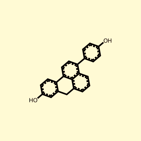 Oc1ccc(-c2ccc3c4c(cccc24)Cc2cc(O)ccc2-3)cc1